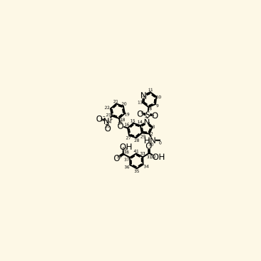 CNc1cn(S(=O)(=O)c2cccnc2)c2cc(Oc3ccccc3[N+](=O)[O-])ccc12.O=C(O)c1cccc(C(=O)O)c1